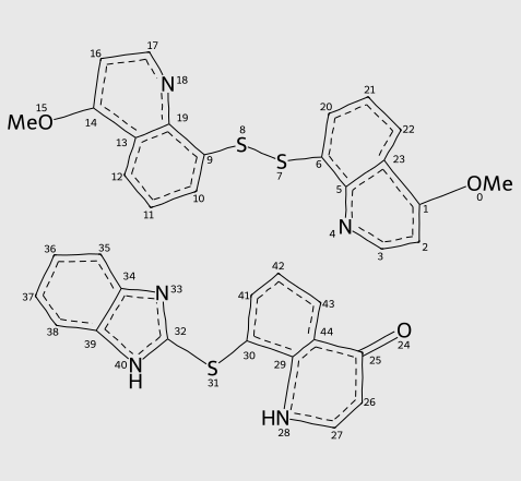 COc1ccnc2c(SSc3cccc4c(OC)ccnc34)cccc12.O=c1cc[nH]c2c(Sc3nc4ccccc4[nH]3)cccc12